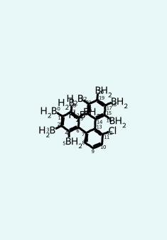 Bc1c(B)c(B)c(-c2cccc(Cl)c2-c2c(B)c(B)c(B)c(B)c2B)c(B)c1B